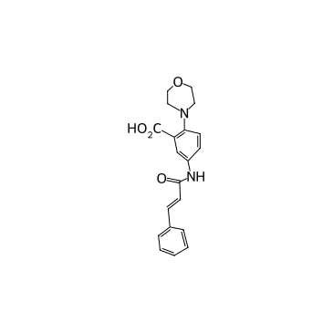 O=C(/C=C/c1ccccc1)Nc1ccc(N2CCOCC2)c(C(=O)O)c1